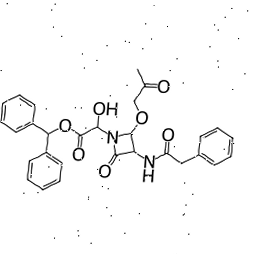 CC(=O)COC1C(NC(=O)Cc2ccccc2)C(=O)N1C(O)C(=O)OC(c1ccccc1)c1ccccc1